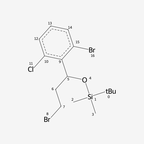 CC(C)(C)[Si](C)(C)OC(CCBr)c1c(Cl)cccc1Br